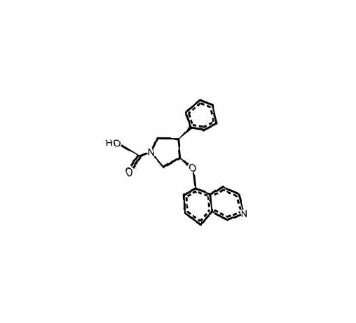 O=C(O)N1C[C@H](Oc2cccc3cnccc23)[C@H](c2ccccc2)C1